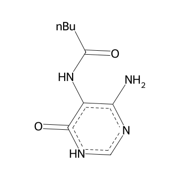 CCCCC(=O)Nc1c(N)nc[nH]c1=O